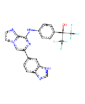 OC(c1ccc(Nc2nc(-c3ccc4nc[nH]c4c3)cn3ccnc23)cc1)(C(F)(F)F)C(F)(F)F